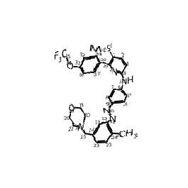 CSc1ccc(Nc2ccc(/N=N/c3cc(CN4CCOCC4)ccc3C)cc2)nc1-c1ccc(OC(F)(F)F)cc1